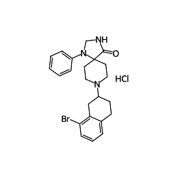 Cl.O=C1NCN(c2ccccc2)C12CCN(C1CCc3cccc(Br)c3C1)CC2